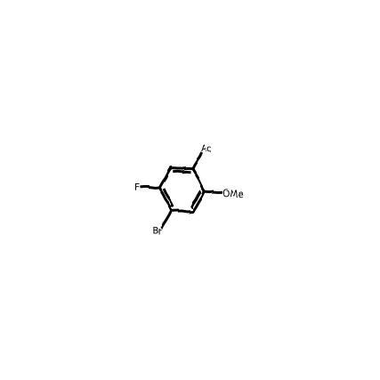 COc1cc(Br)c(F)cc1C(C)=O